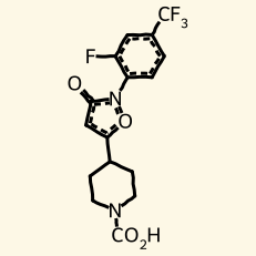 O=C(O)N1CCC(c2cc(=O)n(-c3ccc(C(F)(F)F)cc3F)o2)CC1